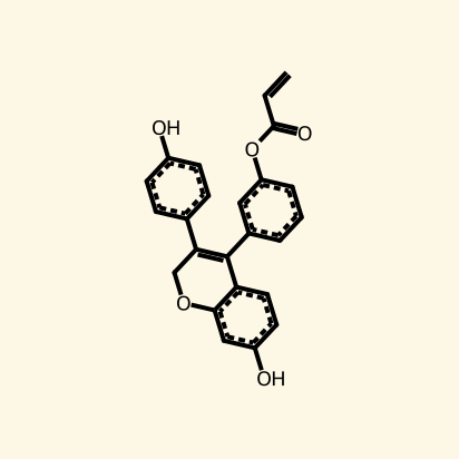 C=CC(=O)Oc1cccc(C2=C(c3ccc(O)cc3)COc3cc(O)ccc32)c1